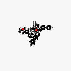 C=C/C(=C\C(NC(C)C)=C(/C)P(=O)(CC)CC)n1ccn(-c2c3c(nn2-c2cc(C)c(F)c(C)c2)CCN(C(=O)c2cc4cc(C5CCOCC5)ccc4n2[C@@]2(c4noc(=O)[nH]4)C[C@@H]2C)[C@H]3C)c1=O